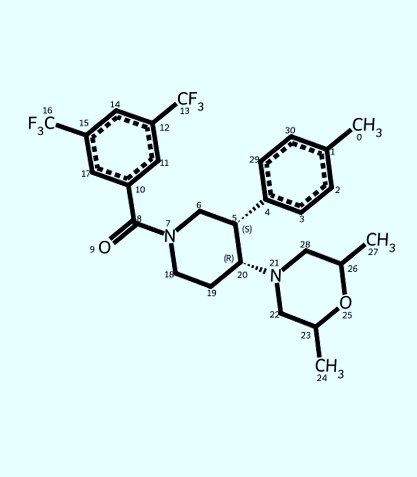 Cc1ccc([C@H]2CN(C(=O)c3cc(C(F)(F)F)cc(C(F)(F)F)c3)CC[C@H]2N2CC(C)OC(C)C2)cc1